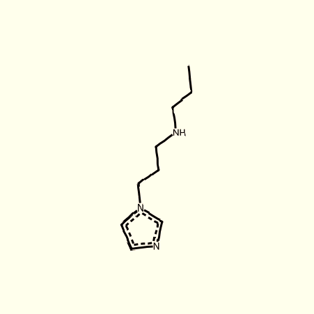 CCCNCCCn1ccnc1